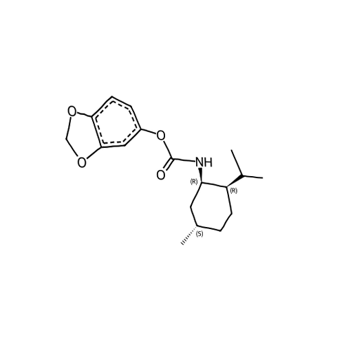 CC(C)[C@H]1CC[C@H](C)C[C@H]1NC(=O)Oc1ccc2c(c1)OCO2